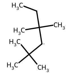 CCC(C)(C)[CH]C(C)(C)C